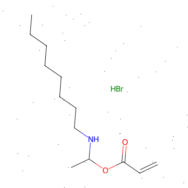 Br.C=CC(=O)OC(C)NCCCCCCCC